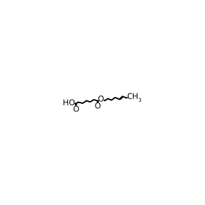 CCC=CCCCCOC(=O)CCCCCC(=O)O